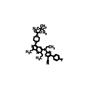 CCC1N=C2C(C)=NC(N3CCN(C(=O)OC(C)(C)C)CC3)=C2C=C1N(CC)c1nc(-c2ccc(F)cc2)c(C#N)s1